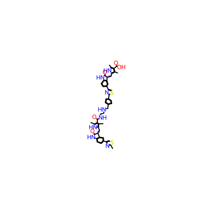 Cc1nc(-c2ccc3c(c2)/C(=C/c2[nH]c(C)c(C(=O)NCCNCc4ccc(-c5nc(-c6ccc7c(c6)/C(=C/c6[nH]c(C)c(C(=O)O)c6C)C(=O)N7)cs5)cc4)c2C)C(=O)N3)cs1